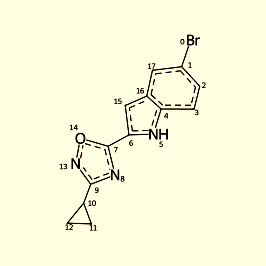 Brc1ccc2[nH]c(-c3nc(C4CC4)no3)cc2c1